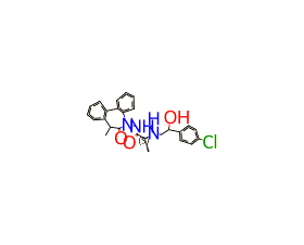 CC1C(=O)N(NC(=O)[C@H](C)NCC(O)c2ccc(Cl)cc2)c2ccccc2-c2ccccc21